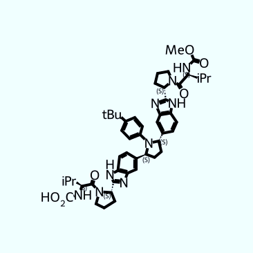 COC(=O)N[C@H](C(=O)N1CCC[C@H]1c1nc2cc([C@@H]3CC[C@@H](c4ccc5[nH]c([C@@H]6CCCN6C(=O)[C@@H](NC(=O)O)C(C)C)nc5c4)N3c3ccc(C(C)(C)C)cc3)ccc2[nH]1)C(C)C